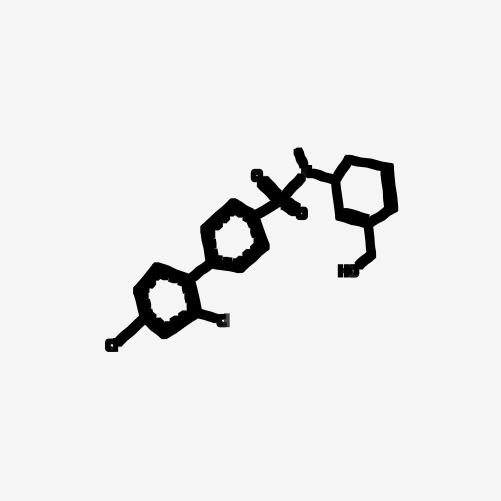 CN(C1C=C(CO)C=CC1)S(=O)(=O)c1ccc(-c2ccc(Cl)cc2Cl)cc1